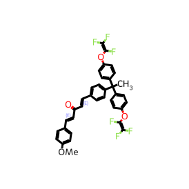 COc1ccc(/C=C/C(=O)/C=C/c2ccc(C(C)(c3ccc(OC(F)=C(F)F)cc3)c3ccc(OC(F)=C(F)F)cc3)cc2)cc1